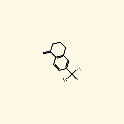 C=C1CCCc2cc(C(F)(C(F)(F)F)C(F)(F)F)ccc21